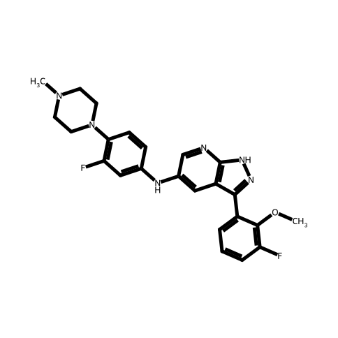 COc1c(F)cccc1-c1n[nH]c2ncc(Nc3ccc(N4CCN(C)CC4)c(F)c3)cc12